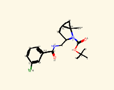 CC(C)(C)OC(=O)N1C(CNC(=O)c2cccc(Br)c2)CC2C[C@@H]21